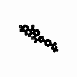 CC(Nc1cccc2c1C(=O)N(C1CCC(=O)NC1=O)C2=O)c1cnn(C2CCN(C(=O)OC(C)(C)C)CC2)c1